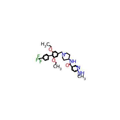 CCOc1cc(CN2CCC(NC(=O)c3ccc(NC)nc3)CC2)cc(OCC)c1-c1ccc(C(F)(F)F)cc1